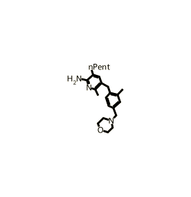 CCCCCc1cc(Cc2ccc(CN3CCOCC3)cc2C)c(C)nc1N